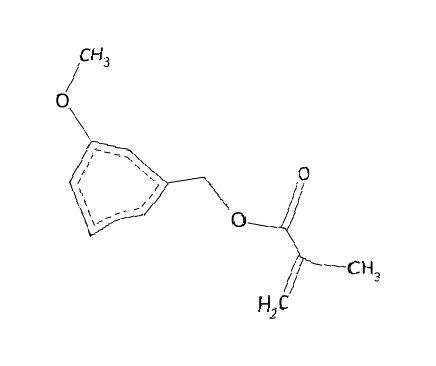 C=C(C)C(=O)OCc1cccc(OC)c1